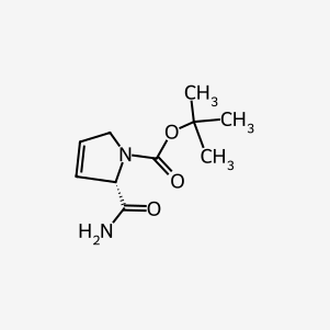 CC(C)(C)OC(=O)N1CC=C[C@H]1C(N)=O